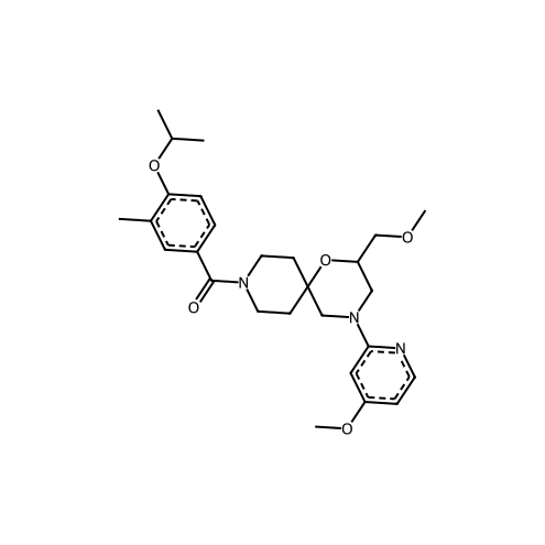 COCC1CN(c2cc(OC)ccn2)CC2(CCN(C(=O)c3ccc(OC(C)C)c(C)c3)CC2)O1